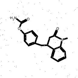 CN1C(=O)CC(Cc2ccc(OC(N)=O)cc2)c2ccccc21